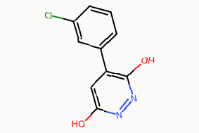 Oc1cc(-c2cccc(Cl)c2)c(O)nn1